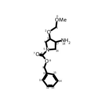 COCOC1CN(C(=O)OCc2ccccc2)CC1N